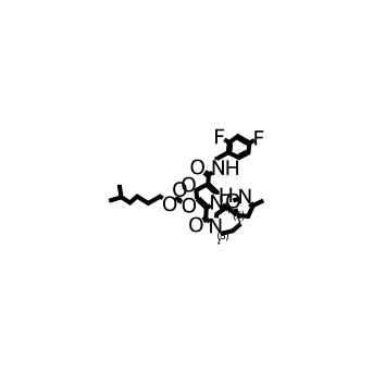 CC1=NO[C@@]2(CC[C@H](C)N3C[C@H]2n2cc(C(=O)NCc4ccc(F)cc4F)c(=O)c(OC(=O)OCCCCC(C)C)c2C3=O)C1